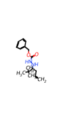 C=CC[C@H](NNC(=O)OCc1ccccc1)C(C)(C)C